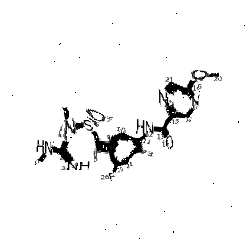 CNC(=N)N(C)[S+]([O-])Cc1cc(NC(=O)c2cnc(OC)cn2)ccc1F